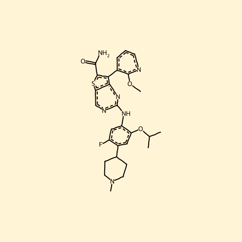 COc1ncccc1-c1c(C(N)=O)sc2cnc(Nc3cc(F)c(C4CCN(C)CC4)cc3OC(C)C)nc12